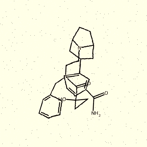 NC(=O)c1cccc(C2CC3CCC(C2)N3CCN(Cc2ccccc2)C(=O)C2(O)CC2)c1